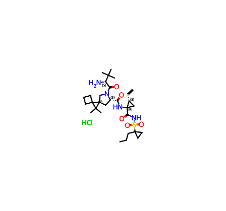 C=C[C@@H]1C[C@]1(NC(=O)[C@@H]1C[C@@]2(CN1C(=O)[C@@H](N)C(C)(C)C)C(C)(C)C21CCC1)C(=O)NS(=O)(=O)C1(CCC)CC1.Cl